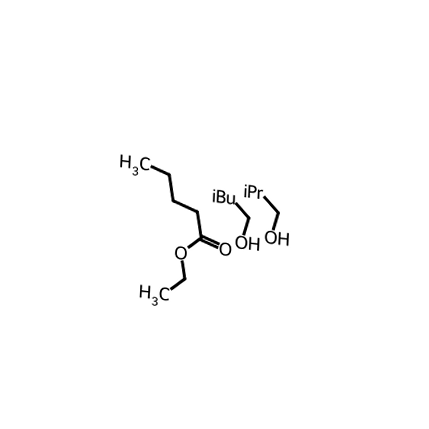 CC(C)CO.CCC(C)CO.CCCCC(=O)OCC